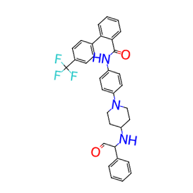 O=CC(NC1CCN(c2ccc(NC(=O)c3ccccc3-c3ccc(C(F)(F)F)cc3)cc2)CC1)c1ccccc1